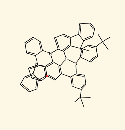 CC(C)(C)c1ccc(N2B3c4c(ccc5c4C(C)(C)c4ccccc4-5)N(c4ccccc4-c4ccccc4)c4c3c(cc3c4oc4ccccc43)-c3cc(C(C)(C)C)ccc32)cc1